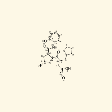 O=CN(O)C[C@@H](CC1CCCC1)C(=O)N1C[C@H](F)C[C@H]1C(=O)Nc1cccn[n+]1[O-]